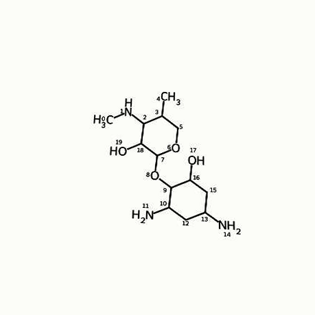 CNC1C(C)COC(OC2C(N)CC(N)CC2O)C1O